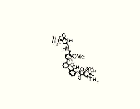 COc1nc(-c2cccc(-c3cccc(NC(=O)c4cn(C)c(=O)n(C)c4=O)c3C)c2Cl)ccc1CNCC1CC(C)(C)C(=O)N1